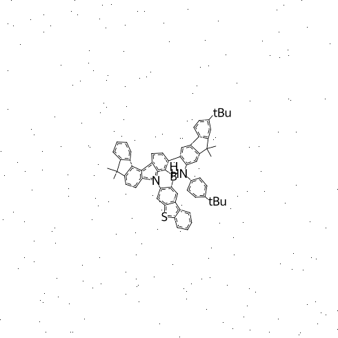 CC(C)(C)c1ccc(Nc2cc3c(cc2-c2ccc4c5c6c(ccc5n5c4c2Bc2cc4c(cc2-5)sc2ccccc24)C(C)(C)c2ccccc2-6)-c2ccc(C(C)(C)C)cc2C3(C)C)cc1